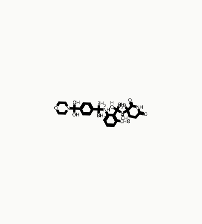 BC(B)(Nc1cccc(C=O)c1C(B)(O)N(C)C1(B)CCC(=O)NC1=O)c1ccc(C(O)(O)N2CCOCC2)cc1